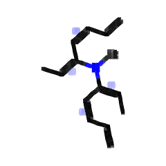 C=C/C=C\C(=C/C)N(CC)C(/C=C\C=C)=C/C